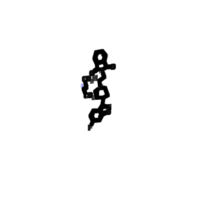 O=C(O)/C=C/C(=O)O.O=C1c2ccccc2C(=O)N1CCN1CCC(c2noc3cc(F)ccc23)CC1